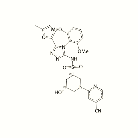 COc1cccc(OC)c1-n1c(NS(=O)(=O)[C@H]2C[C@@H](O)CN(c3cc(C#N)ccn3)C2)nnc1-c1ccc(C)o1